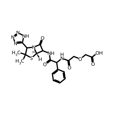 CC1(C)S[C@H]2C(NC(=O)C(NC(=O)COCC(=O)O)c3ccccc3)C(=O)N2C1c1nnn[nH]1